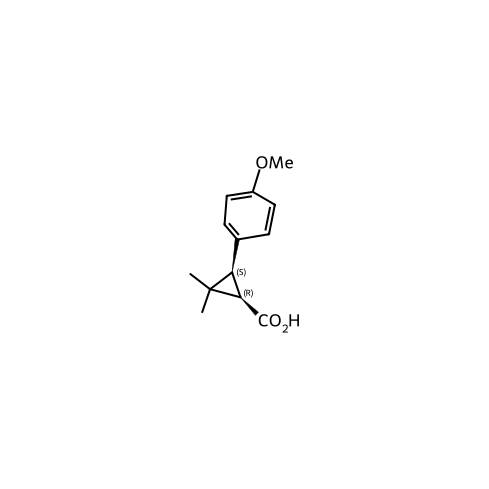 COc1ccc([C@H]2[C@@H](C(=O)O)C2(C)C)cc1